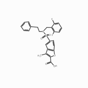 Cc1c(C(=O)O)oc2ccc(S(=O)(=O)N(CCc3ccccc3)Cc3c(F)cccc3F)cc12